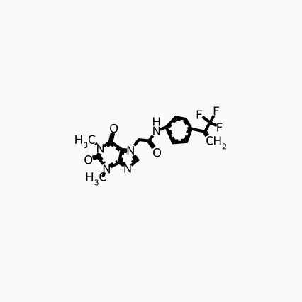 C=C(c1ccc(NC(=O)Cn2cnc3c2c(=O)n(C)c(=O)n3C)cc1)C(F)(F)F